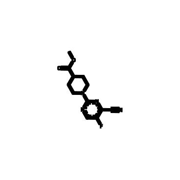 COC(=O)C1CCN(c2ncc(F)c(C#N)n2)CC1